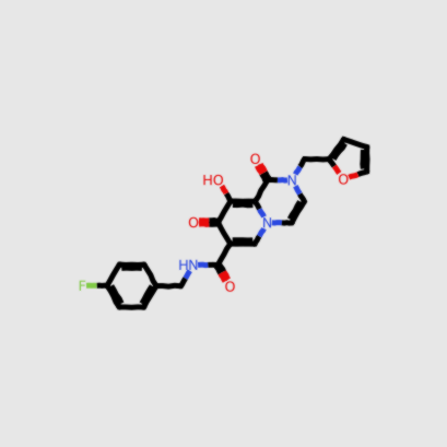 O=C(NCc1ccc(F)cc1)c1cn2ccn(Cc3ccco3)c(=O)c2c(O)c1=O